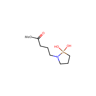 COC(=O)CCCN1CCCS1(O)O